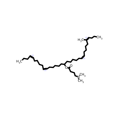 CCC/C=C\CCCC/C=C\CCCCCC(CCCCC/C=C\CCCC/C(C)=C\CCC)OC(=O)CCCN(C)C